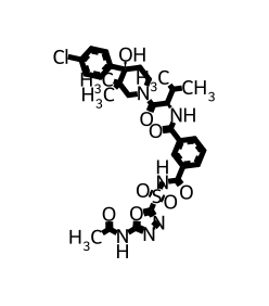 CC(=O)Nc1nnc(S(=O)(=O)NC(=O)c2cccc(C(=O)N[C@@H](C(=O)N3CC[C@](O)(c4ccc(Cl)cc4)C(C)(C)C3)C(C)C)c2)o1